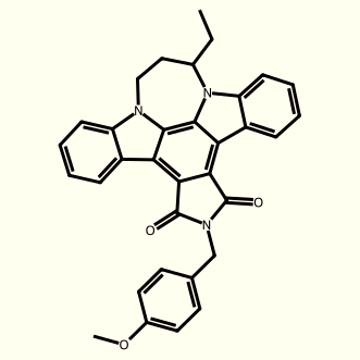 CCC1CCn2c3ccccc3c3c4c(c5c6ccccc6n1c5c32)C(=O)N(Cc1ccc(OC)cc1)C4=O